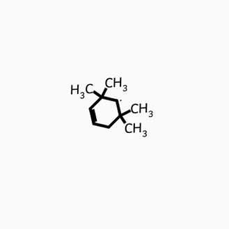 CC1(C)[CH]C(C)(C)CC=C1